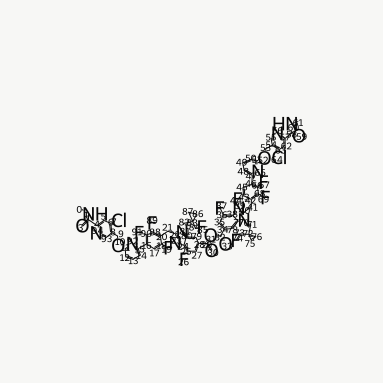 CNC(=O)c1cc(Cl)c(COc2cccc(-c3cc(F)c(Cc4nc5c(F)cc(C(=O)OC(=O)c6cc(F)c7nc(Cc8c(F)cc(-c9cccc(OCc%10cnc(C(=O)NC)cc%10Cl)n9)c(F)c8F)n(CC8(CF)CC8)c7c6)cc5n4CC4(CF)CC4)c(F)c3F)n2)cn1